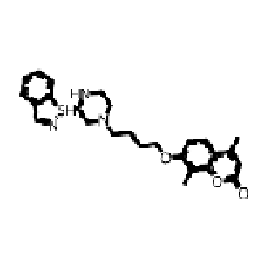 Cc1cc(=O)oc2c(C)c(OCCCCN3CCNC([SH]4N=Cc5ccccc54)C3)ccc12